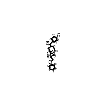 COC(COc1ccccc1)CN1CCC(C(=O)c2ccc(F)cc2)CC1